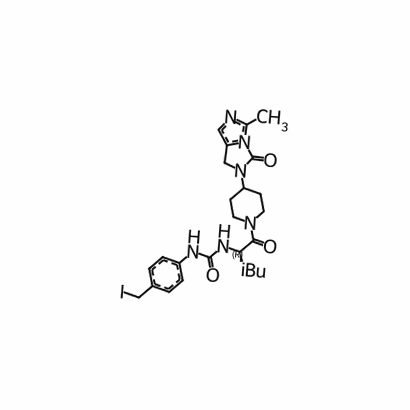 CCC(C)[C@@H](NC(=O)Nc1ccc(CI)cc1)C(=O)N1CCC(N2Cc3cnc(C)n3C2=O)CC1